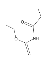 C=C(NC(=O)CC)OCC